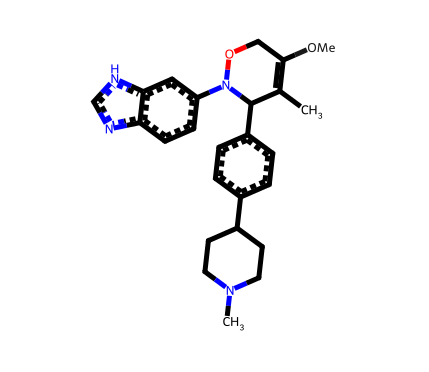 COC1=C(C)C(c2ccc(C3CCN(C)CC3)cc2)N(c2ccc3nc[nH]c3c2)OC1